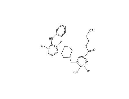 CC(=O)OCCOC(=O)c1cc(Br)c(N)c(CN2CCCCC2)c1.Clc1cccc(Cl)c1Nc1ccccc1